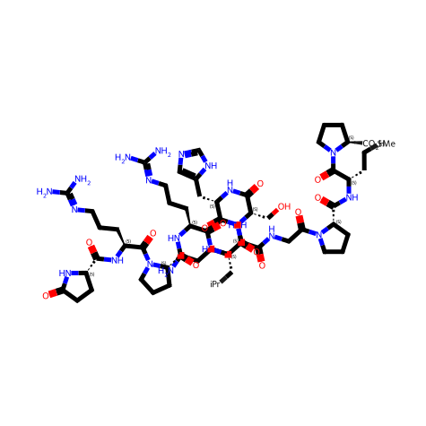 CSCC[C@H](NC(=O)[C@@H]1CCCN1C(=O)CNC(=O)[C@H](CCCCN)NC(=O)[C@H](Cc1cnc[nH]1)NC(=O)[C@H](CO)NC(=O)[C@H](CC(C)C)NC(=O)[C@H](CCCN=C(N)N)NC(=O)[C@@H]1CCCN1C(=O)[C@H](CCCN=C(N)N)NC(=O)[C@@H]1CCC(=O)N1)C(=O)N1CCC[C@H]1C(=O)O